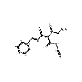 C#COC(=O)N(C(=O)/C=C/c1ccccc1)C(=O)CN